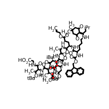 C=CCOC(=O)CCC(NC(=O)C(CCCCNC(CC(C)C)=C1C(=O)CC(C)(C)CC1=O)NC(=O)OCC1c2ccccc2-c2ccccc21)C(=O)N[C@@H](C)C(=O)NC(CCC(=O)OCC=C)C(=O)N[C@@H](CC(=O)OC(C)(C)C)C(=O)NC(C(=O)N[C@H](C(=O)NC(C(=O)NCC(=O)O)[C@@H](C)OC(C)(C)C)C(C)OC(C)(C)C)[C@H](C)CC